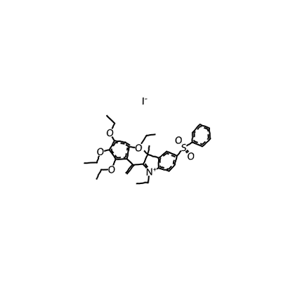 C=C(C1=[N+](CC)c2ccc(S(=O)(=O)c3ccccc3)cc2C1(C)C)c1c(OCC)cc(OCC)c(OCC)c1OCC.[I-]